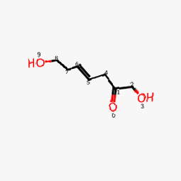 O=C(CO)CC=CCCO